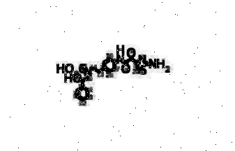 Nc1nc(C(=O)C(=O)Nc2ccc(CCN(C[C@H](O)c3ccccc3)C(=O)O)cc2)cs1